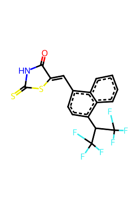 O=C1NC(=S)S/C1=C\c1ccc(C(C(F)(F)F)C(F)(F)F)c2ccccc12